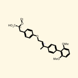 CCO[C@@H](Cc1ccc(OC/C=C(\C)c2ccc(-c3c(OC)cccc3OC)cc2)cc1)C(=O)O